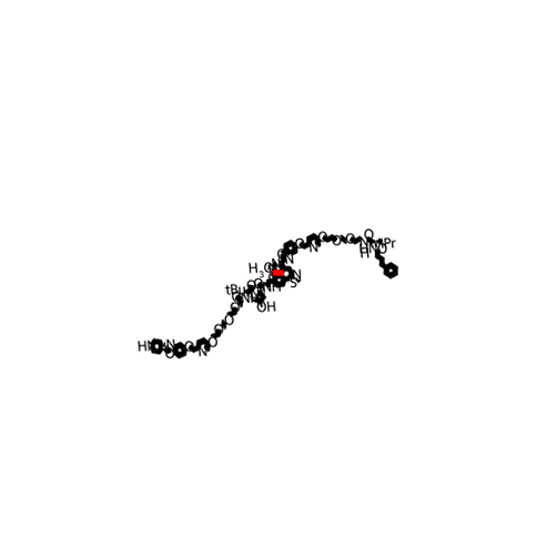 CC(C)C[C@H](NC(=O)CCCc1ccccc1)C(=O)NCCOCCOCCOc1ccc(COc2ccc3oc(-c4nn(C)c(=O)cc4Cc4ncsc4-c4ccc(CNC(=O)[C@@H]5C[C@@H](O)CN5C(=O)[C@@H](NC(=O)COCCOCCOCCOc5ccc(COc6ccc7oc(N8CCNCC8)nc7c6)nc5)C(C)(C)C)cc4)nc3c2)nc1